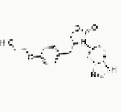 CCCOc1ccc(CC2COC(=O)N2c2ccc3[nH]cnc3c2)cc1